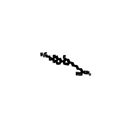 C=CCOc1ncc2cc(-c3ccc(/C=C/CCCC(C)O)cc3F)ccc2n1